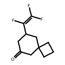 O=C1CC(C(F)=C(F)F)CC2(CCC2)C1